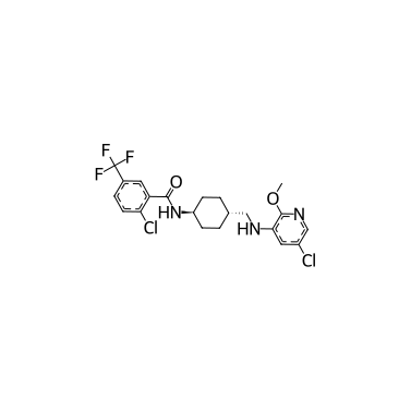 COc1ncc(Cl)cc1NC[C@H]1CC[C@H](NC(=O)c2cc(C(F)(F)F)ccc2Cl)CC1